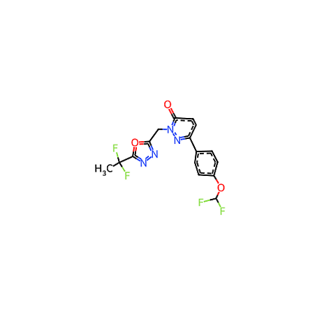 CC(F)(F)c1nnc(Cn2nc(-c3ccc(OC(F)F)cc3)ccc2=O)o1